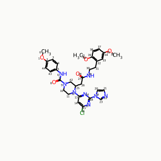 COc1ccc(NC(=O)N2CCN(c3cc(Cl)nc(-n4ccnc4)n3)C(CC(=O)NCCc3cc(OC)ccc3OC)C2)cc1